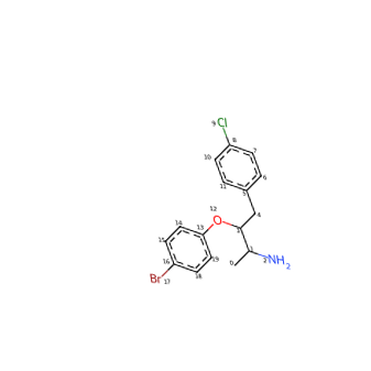 CC(N)C(Cc1ccc(Cl)cc1)Oc1ccc(Br)cc1